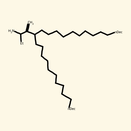 C=C(C(N)CC)C(CCCCCCCCCCCCCCCCCCCC)CCCCCCCCCCCCCCCCCCCC